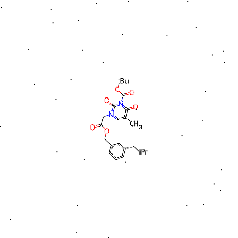 Cc1cn(CC(=O)OCc2cccc(CC(C)C)c2)c(=O)n(C(=O)OC(C)(C)C)c1=O